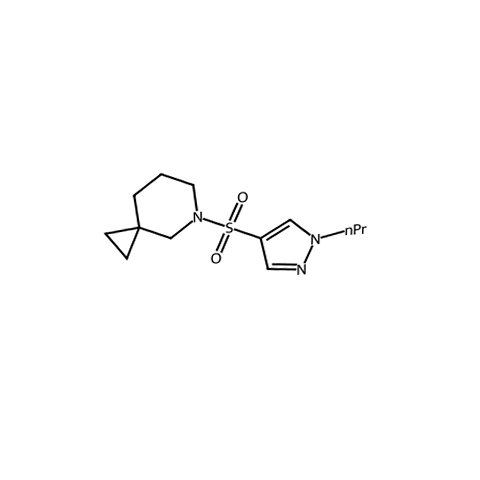 CCCn1cc(S(=O)(=O)N2CCCC3(CC3)C2)cn1